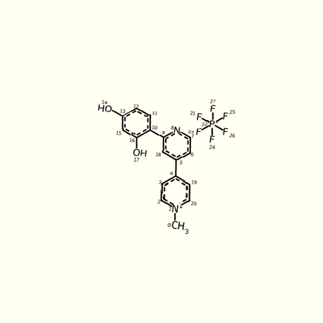 C[n+]1ccc(-c2ccnc(-c3ccc(O)cc3O)c2)cc1.F[P-](F)(F)(F)(F)F